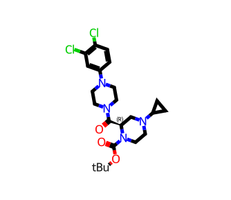 CC(C)(C)OC(=O)N1CCN(C2CC2)C[C@@H]1C(=O)N1CCN(c2ccc(Cl)c(Cl)c2)CC1